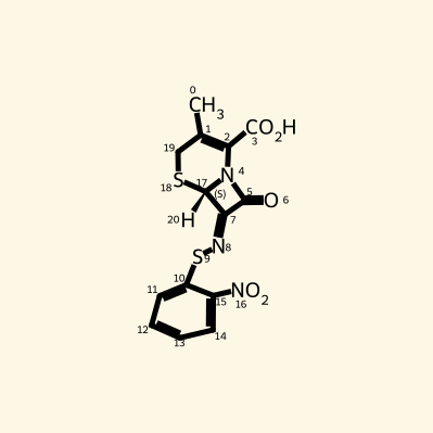 CC1=C(C(=O)O)N2C(=O)C(=NSc3ccccc3[N+](=O)[O-])[C@@H]2SC1